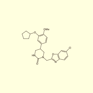 COc1ccc(C2CNC(=O)N(Cc3nc4ccc(Cl)cc4o3)C2)cc1OC1CCCC1